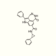 O=C(NC1CC1c1ccccc1)c1cc2c3c(c(-c4ccccc4)[nH]c3c1)C=NNC2=O